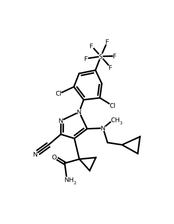 CN(CC1CC1)c1c(C2(C(N)=O)CC2)c(C#N)nn1-c1c(Cl)cc(S(F)(F)(F)(F)F)cc1Cl